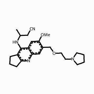 COc1cc2c(NC(C)CC#N)c3c(nc2cc1COCCN1CCCC1)CCC3